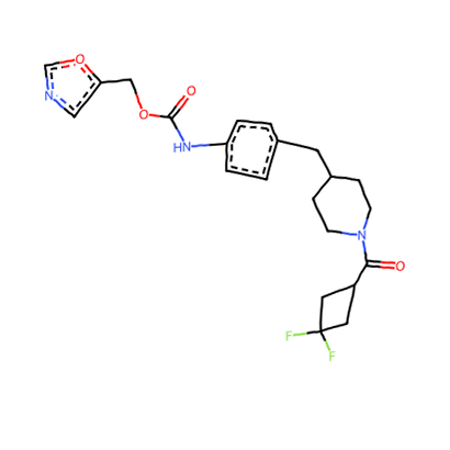 O=C(Nc1ccc(CC2CCN(C(=O)C3CC(F)(F)C3)CC2)cc1)OCc1cnco1